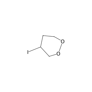 IC1CCOOC1